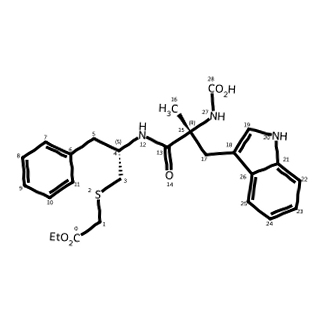 CCOC(=O)CSC[C@H](Cc1ccccc1)NC(=O)[C@@](C)(Cc1c[nH]c2ccccc12)NC(=O)O